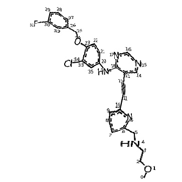 COCCNCc1cccc(C#Cc2cncnc2Nc2ccc(OCc3cccc(F)c3)c(Cl)c2)n1